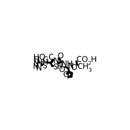 CC(CC(=O)O)ON=C(C(=O)N[C@@H]1C(=O)N2C(C(=O)O)=C(C(C)Sc3nnn[nH]3)CS[C@H]12)c1ccco1